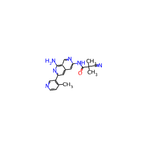 Cc1ccncc1-c1cc2cc(NC(=O)C(C)(C)C#N)ncc2c(N)n1